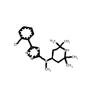 CN(c1nnc(-c2[c]cccc2Cl)s1)C1CC(C)(C)NC(C)(C)C1